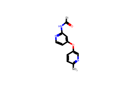 CCC(=O)Nc1cc(Oc2ccc([N+](=O)[O-])nc2)ccn1